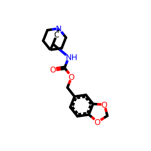 O=C(NC1CN2CCC1CC2)OCc1ccc2c(c1)OCO2